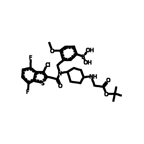 COc1ccc(B(O)O)cc1CN(C(=O)c1sc2c(F)ccc(F)c2c1Cl)C1CCC(NCC(=O)OC(C)(C)C)CC1